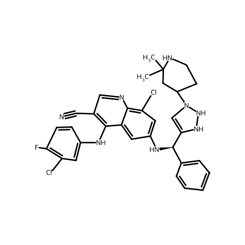 CC1(C)CC(N2C=C([C@H](Nc3cc(Cl)c4ncc(C#N)c(Nc5ccc(F)c(Cl)c5)c4c3)c3ccccc3)NN2)CCN1